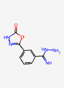 N=C(NN)c1cccc(-c2n[nH]c(=O)o2)c1